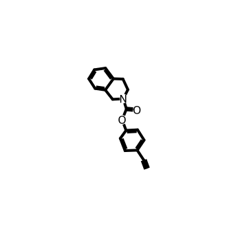 C#Cc1ccc(OC(=O)N2CCc3ccccc3C2)cc1